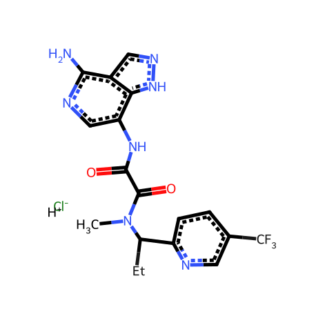 CCC(c1ccc(C(F)(F)F)cn1)N(C)C(=O)C(=O)Nc1cnc(N)c2cn[nH]c12.[Cl-].[H+]